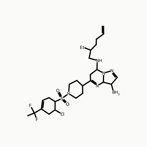 BC1C=NN2C(NCC(CC)CCC=C)CC(C3CCN(S(=O)(=O)C4CC=C(C(C)(F)F)CC4Cl)CC3)=NC12